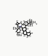 CCC1=CC(C(C)(C)C)=CCN1/C=C\c1cc2ccc3ccccc3c2cc1-c1cc(C(C)(CC)CC)cc[n+]1CCC1=CC=C1C